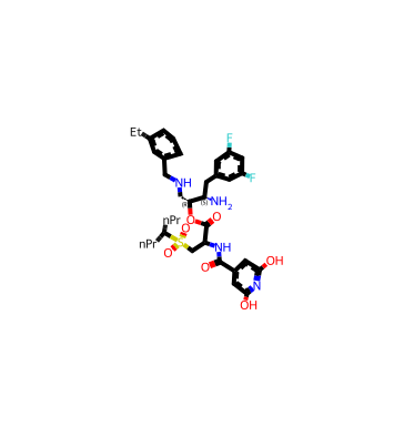 CCCC(CCC)S(=O)(=O)CC(NC(=O)c1cc(O)nc(O)c1)C(=O)O[C@H](CNCc1cccc(CC)c1)[C@@H](N)Cc1cc(F)cc(F)c1